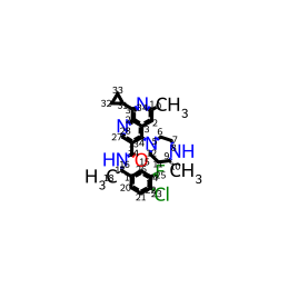 Cc1cc2c(N3CCN[C@@H](C)CC3)c(C(=O)N[C@@H](C)c3ccc(Cl)c(F)c3)cnc2c(C2CC2)n1